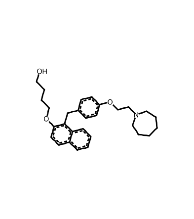 OCCCCOc1ccc2ccccc2c1Cc1ccc(OCCN2CCCCCC2)cc1